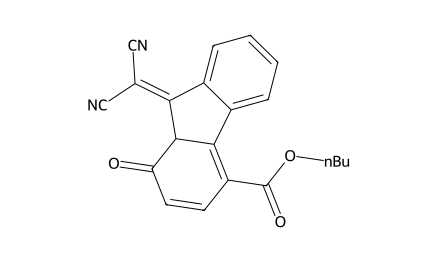 CCCCOC(=O)C1=C2c3ccccc3C(=C(C#N)C#N)C2C(=O)C=C1